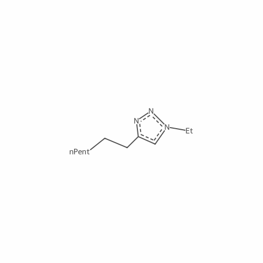 CCCCCCCc1cn(CC)nn1